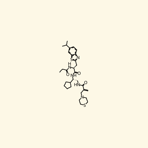 C=C(CN1CCSCC1)C(=O)NC[C@@H](NC(=O)[C@H](Cc1nc2ccc(C(C)C)cc2s1)NC(=O)CC)C1CCCC1